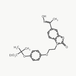 CCOC(=O)C(C)(C)Oc1ccc(OCCn2c(=O)sc3cc(/C(C)=N/O)ccc32)cc1